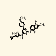 CCN1CCN(c2cc(Nc3cc(C4CC4)[nH]n3)nc(Oc3ccc4[nH]c(C)cc4c3F)n2)CC1